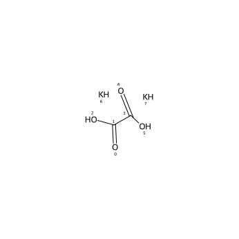 O=C(O)C(=O)O.[KH].[KH]